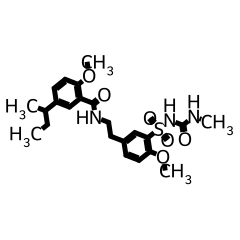 CCC(C)c1ccc(OC)c(C(=O)NCCc2ccc(OC)c(S(=O)(=O)NC(=O)NC)c2)c1